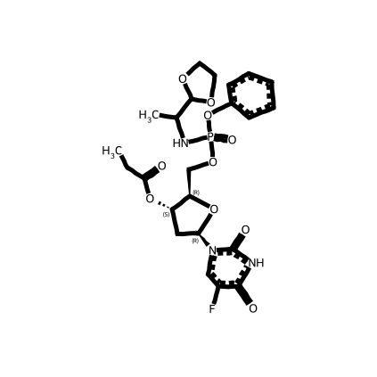 CCC(=O)O[C@H]1C[C@H](n2cc(F)c(=O)[nH]c2=O)O[C@@H]1COP(=O)(NC(C)C1OCCO1)Oc1ccccc1